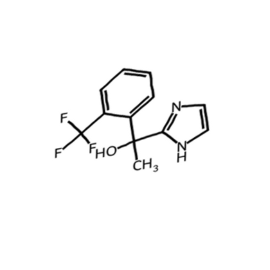 CC(O)(c1ncc[nH]1)c1ccccc1C(F)(F)F